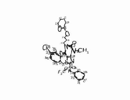 Cn1c(=O)n(CCCOC2CCCCO2)c(=O)c2c1nc([SH](=O)(Cc1ccccc1)OC(F)(F)F)n2Cc1ccc(Cl)cc1